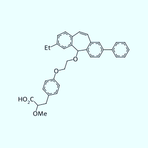 CCc1ccc2c(c1)C(OCCOc1ccc(CC(OC)C(=O)O)cc1)c1ccc(-c3ccccc3)cc1C=C2